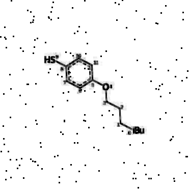 CCC(C)CCCOc1ccc(S)cc1